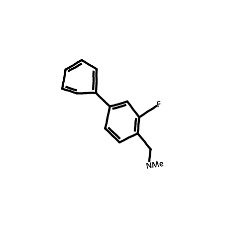 CNCc1ccc(-c2ccccc2)cc1F